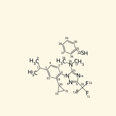 CC(C)c1ccc(-n2nc(C(F)(F)F)nc2N(C)C)c(C2CC2)c1.Sc1ccccc1